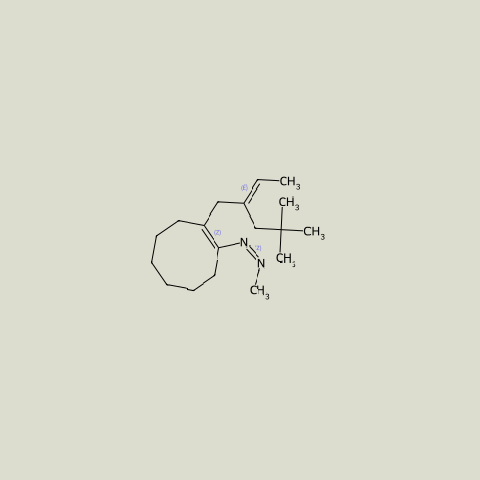 C/C=C(/C/C1=C(\N=N/C)CCCCCC1)CC(C)(C)C